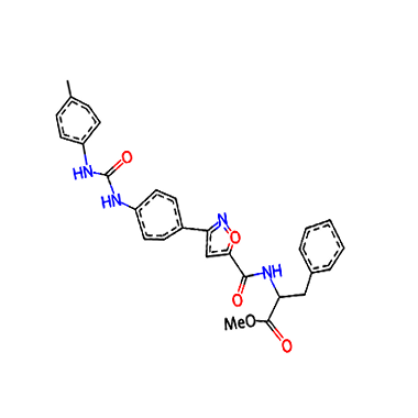 COC(=O)C(Cc1ccccc1)NC(=O)c1cc(-c2ccc(NC(=O)Nc3ccc(C)cc3)cc2)no1